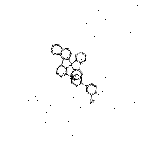 Brc1cccc(-c2ccc(-c3cccc4c3C3(c5ccccc5-c5ccccc53)c3ccc5ccccc5c3-4)cc2)c1